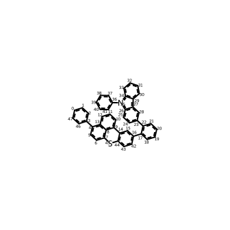 c1ccc(-c2ccc3c4c(cccc24)-c2cc(-c4ccccc4-c4ccc5c(c4)c4ccccc4n5-c4ccccc4)ccc2S3)cc1